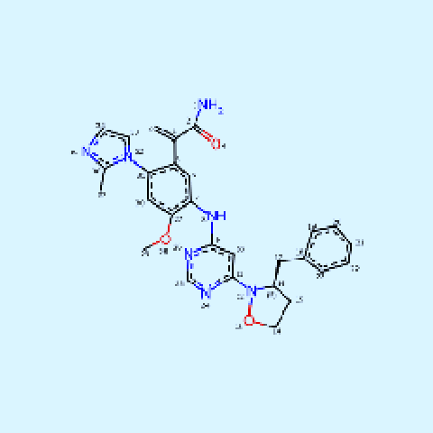 C=C(C(N)=O)c1cc(Nc2cc(N3OCC[C@@H]3Cc3ccccc3)ncn2)c(OC)cc1-n1ccnc1C